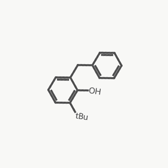 CC(C)(C)c1cccc(Cc2ccccc2)c1O